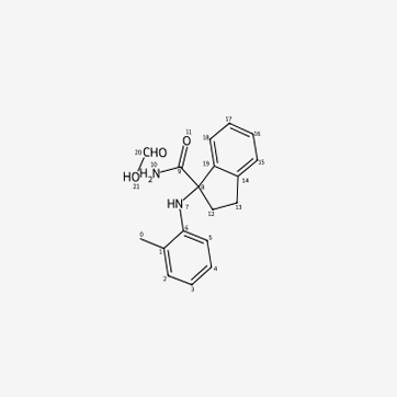 Cc1ccccc1NC1(C(N)=O)CCc2ccccc21.O=CO